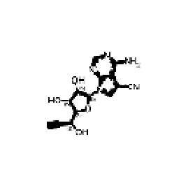 C#C[C@H](O)[C@@H]1O[C@H](n2cc(C#N)c3c(N)ncnc32)[C@@H](O)[C@@H]1O